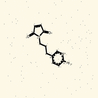 O=C1C=CC(=O)N1CCCc1ccc([18F])nc1